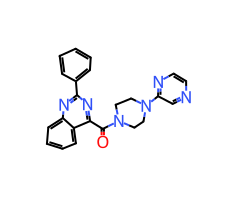 O=C(c1nc(-c2ccccc2)nc2ccccc12)N1CCN(c2cnccn2)CC1